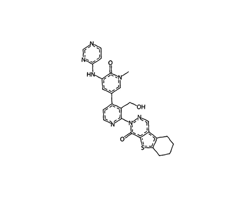 Cn1cc(-c2ccnc(-n3ncc4c5c(sc4c3=O)CCCC5)c2CO)cc(Nc2ccncn2)c1=O